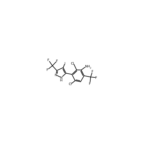 Nc1c(C(F)(F)F)cc(Cl)c(-c2[nH]nc(C(F)(F)F)c2I)c1Cl